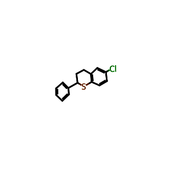 Clc1ccc2c(c1)CCC(c1ccccc1)S2